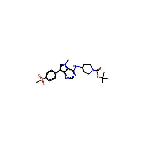 Cn1cc(-c2ccc(S(C)(=O)=O)cc2)c2ncnc(NC3CCN(C(=O)OC(C)(C)C)CC3)c21